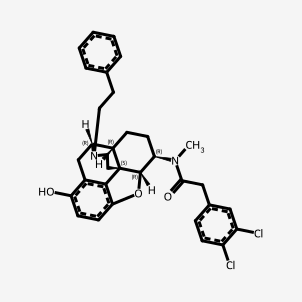 CN(C(=O)Cc1ccc(Cl)c(Cl)c1)[C@@H]1CC[C@H]2[C@H]3Cc4c(O)ccc5c4[C@@]2(CCN3CCc2ccccc2)[C@H]1O5